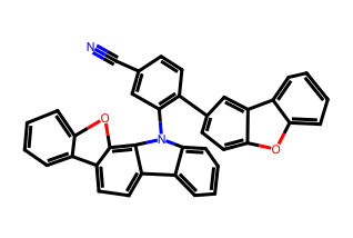 N#Cc1ccc(-c2ccc3oc4ccccc4c3c2)c(-n2c3ccccc3c3ccc4c5ccccc5oc4c32)c1